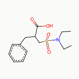 CCN(CC)S(=O)(=O)CC(Cc1ccccc1)C(=O)O